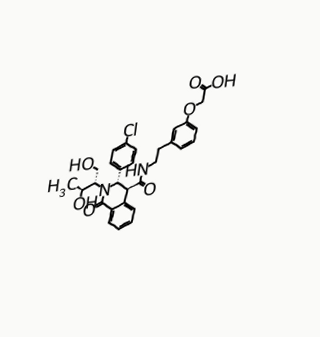 C[C@H](O)[C@H](CO)N1C(=O)c2ccccc2[C@H](C(=O)NCCc2cccc(OCC(=O)O)c2)[C@H]1c1ccc(Cl)cc1